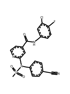 CS(=O)(=O)N(c1ccc(C#N)cc1)c1cc(C(=O)Nc2ccc(F)c(Cl)c2)ccn1